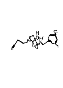 N#CCCN1CCC(O)(C(=O)NCc2cc(F)cc(Cl)c2)C1=O